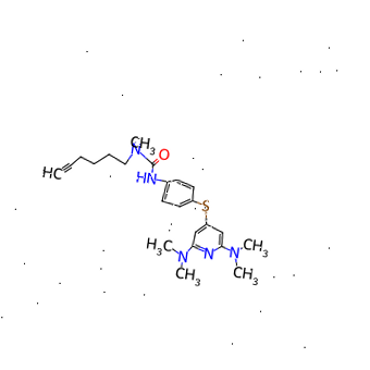 C#CCCCCN(C)C(=O)Nc1ccc(Sc2cc(N(C)C)nc(N(C)C)c2)cc1